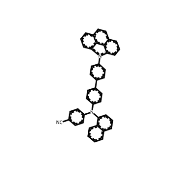 N#Cc1ccc(N(c2ccc(-c3ccc(-n4c5cccc6ccc7cccc4c7c65)cc3)cc2)c2cccc3ccccc23)cc1